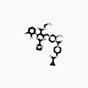 CCOC(=O)C1=C(CN2CCN(C(=O)N3CCC(OC(=O)C4CC4)CC3)[C@H](C)C2)NC(c2nccs2)=N[C@H]1c1cccc(F)c1Cl